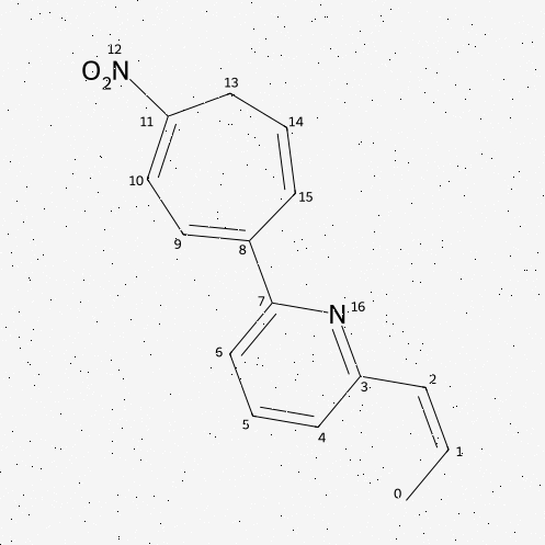 C/C=C\c1cccc(C2=CC=C([N+](=O)[O-])CC=C2)n1